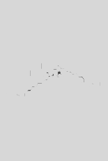 C=CC(CCCCCCC=CCCCCCCCC)C(=O)OC(=O)C(C=C)CCCCCC/C=C\CCCCCCCC